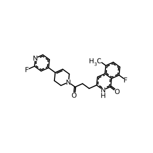 Cc1ccc(F)c2c(=O)[nH]c(CCC(=O)N3CC=C(c4ccnc(F)c4)CC3)cc12